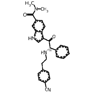 CN(C)C(=O)c1ccc2c(C(=O)[C@@H](NCCc3ccc(C#N)cc3)c3ccccc3)c[nH]c2c1